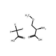 COC[C@@H](N)C(=O)O.O=C(O)C(F)(F)F